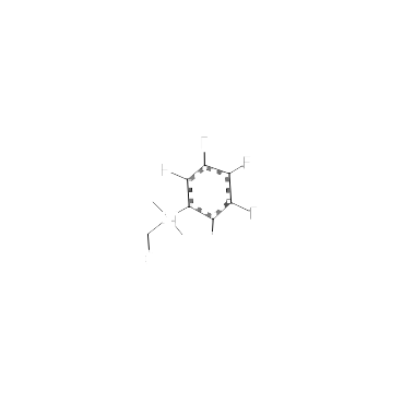 C[Si](C)(CCl)c1c(F)c(F)c(F)c(F)c1F